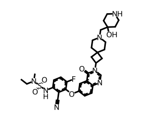 CCN(C)S(=O)(=O)Nc1ccc(F)c(Oc2ccc3ncn(C4CC5(CCN(CC6(O)CCNCC6)CC5)C4)c(=O)c3c2)c1C#N